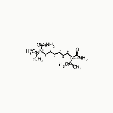 CN(C)N(CCCCCCN(C(N)=O)N(C)C)C(N)=O